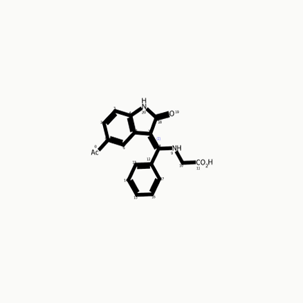 CC(=O)c1ccc2c(c1)/C(=C(/NCC(=O)O)c1ccccc1)C(=O)N2